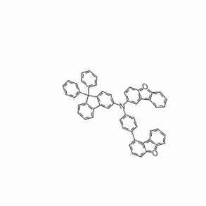 c1ccc(C2(c3ccccc3)c3ccccc3-c3cc(N(c4ccc(-c5cccc6oc7ccccc7c56)cc4)c4ccc5oc6ccccc6c5c4)ccc32)cc1